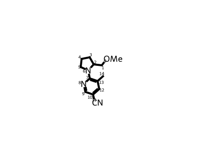 COCC1CCCN1c1ncc(C#N)cc1C